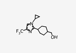 OCC1CCC(c2nc(C(F)(F)F)cn2C2CC2)CC1